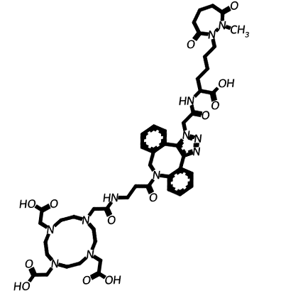 CN1C(=O)CCCC(=O)N1CCCCC(NC(=O)Cn1nnc2c1-c1ccccc1CN(C(=O)CCNC(=O)CN1CCN(CC(=O)O)CCN(CC(=O)O)CCN(CC(=O)O)CC1)c1ccccc1-2)C(=O)O